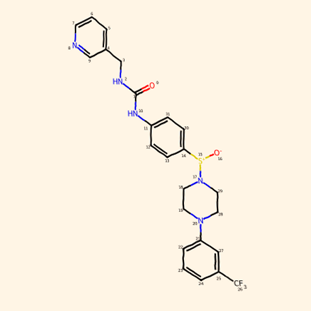 O=C(NCc1cccnc1)Nc1ccc([S+]([O-])N2CCN(c3cccc(C(F)(F)F)c3)CC2)cc1